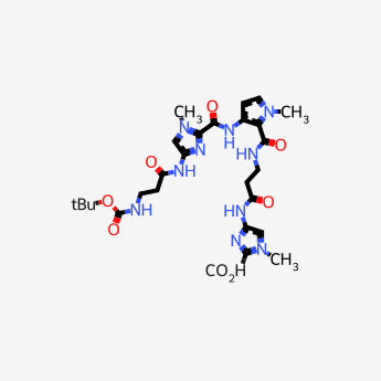 Cn1cc(NC(=O)CCNC(=O)c2c(NC(=O)c3nc(NC(=O)CCNC(=O)OC(C)(C)C)cn3C)ccn2C)nc1C(=O)O